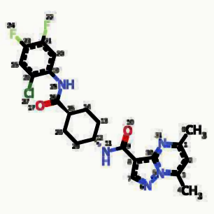 Cc1cc(C)n2ncc(C(=O)N[C@H]3CC[C@H](C(=O)Nc4cc(F)c(F)cc4Cl)CC3)c2n1